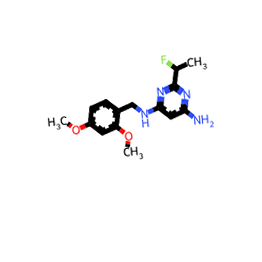 COc1ccc(CNc2cc(N)nc(C(C)F)n2)c(OC)c1